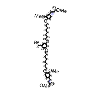 COC(=O)/C=C/c1ccc(OCCCCCCCCOc2cc(CBr)cc(OCCCCCCCCOc3ccc(/C=C/C(=O)OC)cc3OC)c2)c(OC)c1